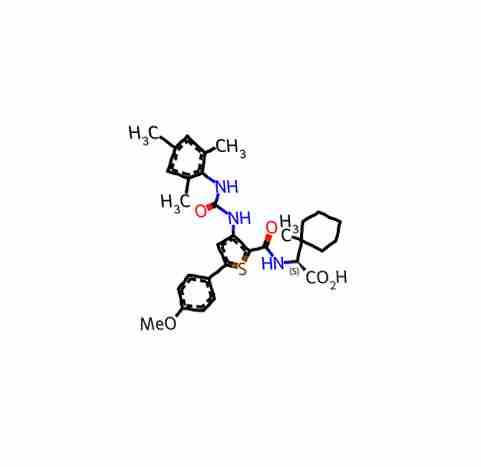 COc1ccc(-c2cc(NC(=O)Nc3c(C)cc(C)cc3C)c(C(=O)N[C@H](C(=O)O)C3(C)CCCCC3)s2)cc1